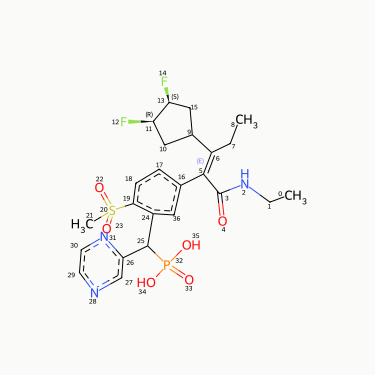 CCNC(=O)/C(=C(\CC)C1C[C@@H](F)[C@@H](F)C1)c1ccc(S(C)(=O)=O)c(C(c2cnccn2)P(=O)(O)O)c1